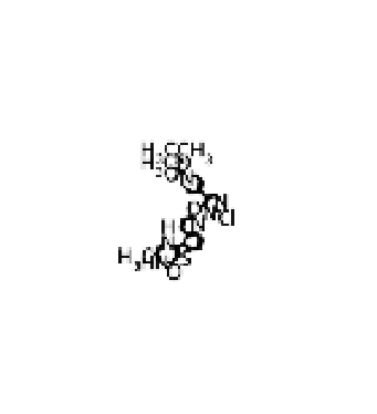 C[C@@H]1CNc2c(sc3ccc4nc(Oc5nc(Cl)ncc5C5=CCN(C(=O)OC(C)(C)C)CC5)ccc4c23)C(=O)N1